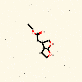 CCOC(=O)CC1COC2OCCC12